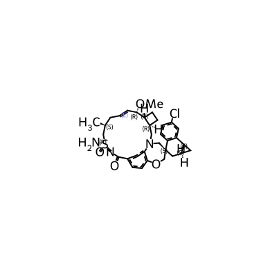 CO[C@H]1/C=C/C[C@H](C)C[S@](N)(=O)=NC(=O)c2ccc3c(c2)N(C[C@@H]2CC[C@H]21)C[C@]1(CO3)C[C@@H]2C[C@@H]2c2cc(Cl)ccc21